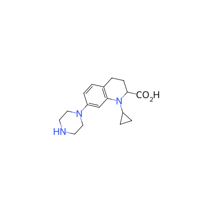 O=C(O)C1CCc2ccc(N3CCNCC3)cc2N1C1CC1